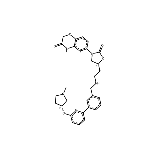 CN1CC[C@@H](Oc2cccc(-c3cccc(CNCC[C@H]4CN(c5ccc6c(n5)NC(=O)CO6)C(=O)O4)c3)n2)C1